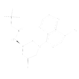 CC1C[C@@H](NC(=O)CC(C)(C)O)CN(c2ccc(C#N)c3nccnc23)C1